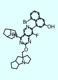 Oc1cc(-c2ncc3c(N4CC5CCC(C4)N5)nc(OCC45CCCN4C4CCCC4C5)nc3c2F)c2c(Br)cccc2c1